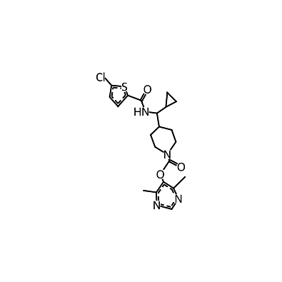 Cc1ncnc(C)c1OC(=O)N1CCC(C(NC(=O)c2ccc(Cl)s2)C2CC2)CC1